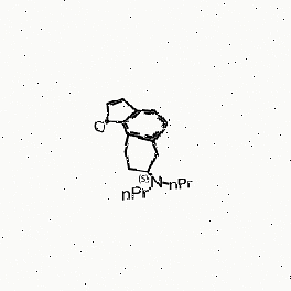 CCCN(CCC)[C@H]1CCc2c(ccc3c2C(=O)C=C3)C1